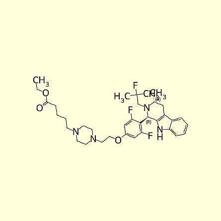 CCOC(=O)CCCCN1CCN(CCOc2cc(F)c([C@@H]3c4[nH]c5ccccc5c4C[C@@H](C)N3CC(C)(C)F)c(F)c2)CC1